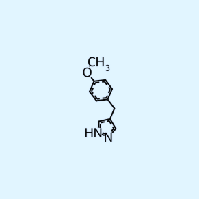 COc1ccc(Cc2cn[nH]c2)cc1